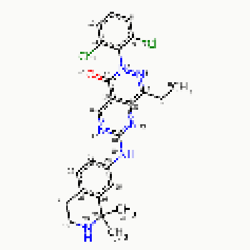 CCc1nn(-c2c(Cl)cccc2Cl)c(=O)c2cnc(Nc3ccc4c(c3)C(C)(C)NCC4)nc12